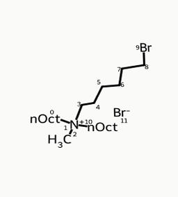 CCCCCCCC[N+](C)(CCCCCCBr)CCCCCCCC.[Br-]